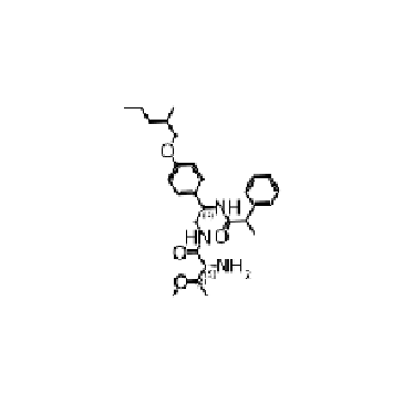 CCCC(C)COc1ccc([C@H](CNC(=O)[C@@H](N)[C@@H](C)OC)NC(=O)C(C)c2ccccc2)cc1